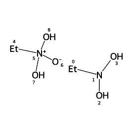 CCN(O)O.CC[N+]([O-])(O)O